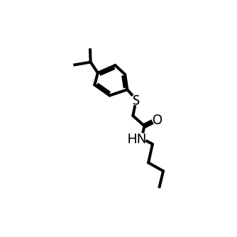 CCCCNC(=O)CSc1ccc(C(C)C)cc1